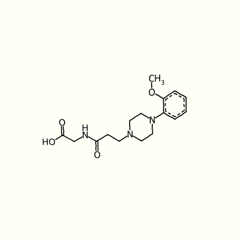 COc1ccccc1N1CCN(CCC(=O)NCC(=O)O)CC1